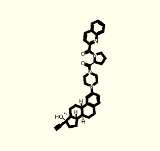 C#C[C@]1(O)CC[C@H]2[C@@H]3CCc4ccc(N5CCN(C(=O)[C@@H]6CCCN6C(=O)c6ccc7ccccc7n6)CC5)cc4[C@H]3CC[C@@]21C